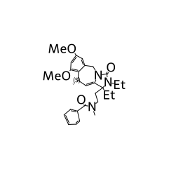 CCN1C(=O)N2Cc3cc(OC)cc(OC)c3[C@@H](C)C=C2C1(CC)CCN(C)C(=O)c1ccccc1